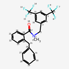 CN(Cc1cc(C(F)(F)F)cc(C(F)(F)F)c1)C(=O)c1ccccc1Cc1ccccc1